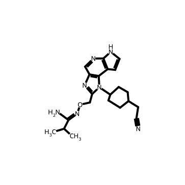 CC(C)/C(N)=N/OCc1nc2cnc3[nH]ccc3c2n1C1CCC(CC#N)CC1